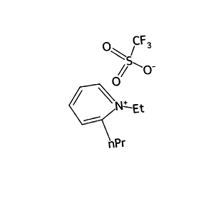 CCCc1cccc[n+]1CC.O=S(=O)([O-])C(F)(F)F